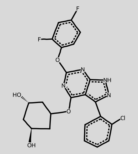 O[C@@H]1CC(Oc2nc(Oc3ccc(F)cc3F)nc3[nH]nc(-c4ccccc4Cl)c23)C[C@@H](O)C1